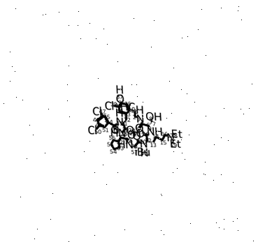 C#CCNC(=O)[C@H](CO)NC(=O)[C@H](CCCCN(CC)CC)NC(=O)[C@@H](NC(=O)[C@@H](NC(=O)[C@H](Cc1ccc(O)c(Cl)c1)NC(=O)c1cc(Cl)cc(Cl)c1)C1CCCC1)[C@@H](C)CC